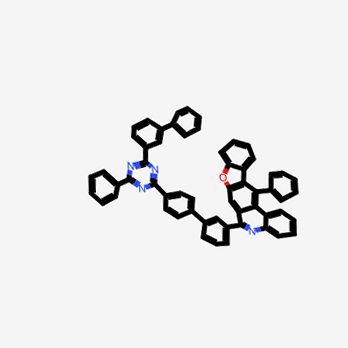 c1ccc(-c2cccc(-c3nc(-c4ccccc4)nc(-c4ccc(-c5cccc(-c6nc7ccccc7c7c(-c8ccccc8)c8c(cc67)oc6ccccc68)c5)cc4)n3)c2)cc1